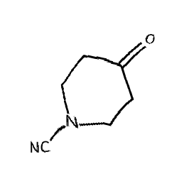 N#CN1CCC(=O)CC1